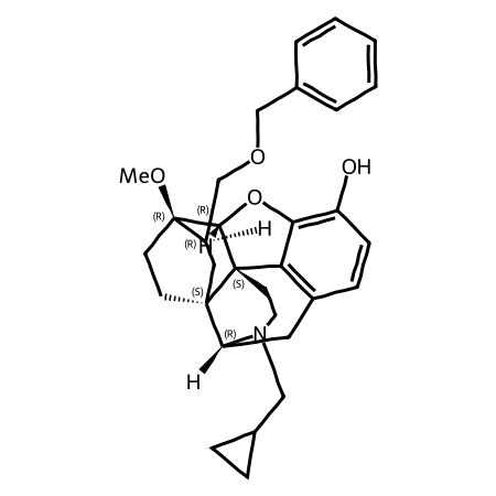 CO[C@]12CC[C@@]3(C[C@@H]1COCc1ccccc1)[C@H]1Cc4ccc(O)c5c4[C@@]3(CCN1CC1CC1)[C@H]2O5